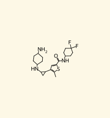 Cc1sc(C(=O)NC2CCC(F)(F)CC2)cc1C1CC1NC1CCC(N)CC1